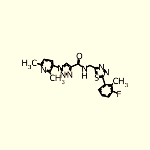 Cc1ccc(-n2cc(C(=O)NCc3nnc(-c4cccc(F)c4C)s3)nn2)c(C)n1